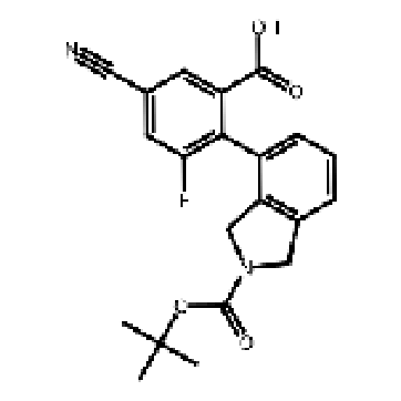 CC(C)(C)OC(=O)N1Cc2cccc(-c3c(F)cc(C#N)cc3C(=O)O)c2C1